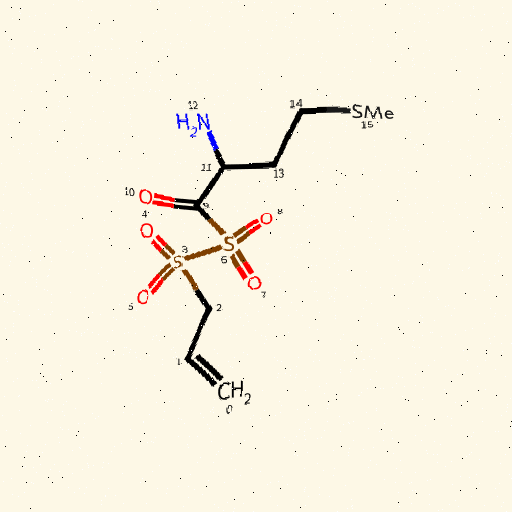 C=CCS(=O)(=O)S(=O)(=O)C(=O)C(N)CCSC